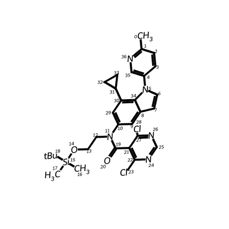 Cc1ccc(-n2ccc3cc(N(CCO[Si](C)(C)C(C)(C)C)C(=O)c4c(Cl)ncnc4Cl)cc(C4CC4)c32)cn1